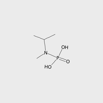 CC(C)N(C)P(=O)(O)O